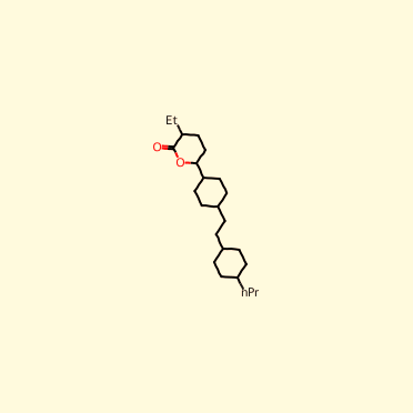 CCCC1CCC(CCC2CCC(C3CCC(CC)C(=O)O3)CC2)CC1